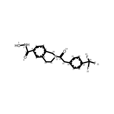 O=C(NO)c1ccc2c(c1)CCN(C(=O)Cc1ccc(C(F)(F)F)cc1)C2